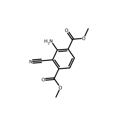 COC(=O)c1ccc(C(=O)OC)c(C#N)c1N